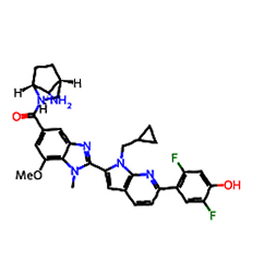 COc1cc(C(=O)N2C[C@H]3CC[C@@H]2[C@@H]3N)cc2nc(-c3cc4ccc(-c5cc(F)c(O)cc5F)nc4n3CC3CC3)n(C)c12